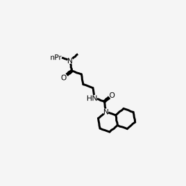 CCCN(C)C(=O)CCCNC(=O)N1CCCC2CCCCC21